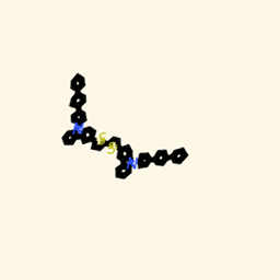 C1=C(C2CCC(c3ccc4c(c3)c3ccccc3n4-c3ccc(-c4ccc(-c5ccccc5)cc4)cc3)S2)SC(c2ccc3c(c2)c2ccccc2n3-c2ccc(-c3ccc(-c4ccccc4)cc3)cc2)C1